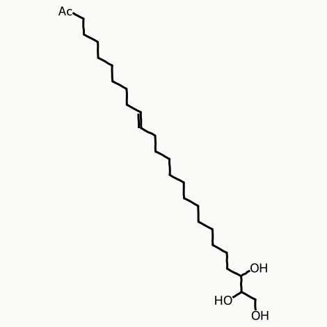 CC(=O)CCCCCCCC/C=C/CCCCCCCCCCCCC(O)C(O)CO